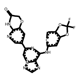 O=C1COc2cc(-c3cn4ncnc4c(Nc4ccc5c(c4)OC(F)(F)O5)n3)cnc2N1